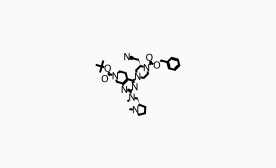 CN(C[C@@H]1CCCN1C)c1nc2c(c(N3CCN(C(=O)OCc4ccccc4)[C@@H](CC#N)C3)n1)CCN(C(=O)OC(C)(C)C)C2